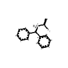 C=C(F)[SiH2]C(c1ccccc1)c1ccccc1